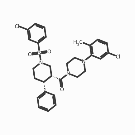 Cc1ccc(Cl)cc1N1CCN(C(=O)[C@H]2CN(S(=O)(=O)c3cccc(Cl)c3)CC[C@H]2c2ccccc2)CC1